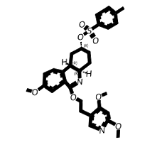 COc1ccc2c(c1)C(OCCc1cnc(OC)cc1OC)=N[C@@H]1CC[C@@H](OS(=O)(=O)c3ccc(C)cc3)C[C@H]21